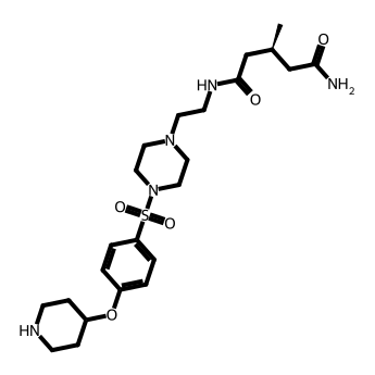 C[C@@H](CC(N)=O)CC(=O)NCCN1CCN(S(=O)(=O)c2ccc(OC3CCNCC3)cc2)CC1